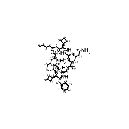 CCCCCCC(NC(=O)[C@@H](N)CCCC)C(NCC(=O)NC(CCCCN)C(=O)NCC(=C=O)NC(Cc1ccccc1)C(NCC=O)=C1CCC1)=C1CCC1